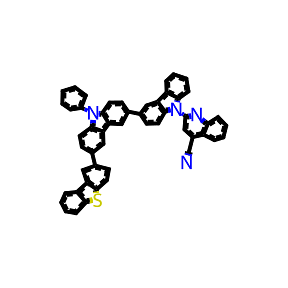 N#Cc1cc(-n2c3ccccc3c3cc(-c4ccc5c(c4)c4cc(-c6ccc7sc8ccccc8c7c6)ccc4n5-c4ccccc4)ccc32)nc2ccccc12